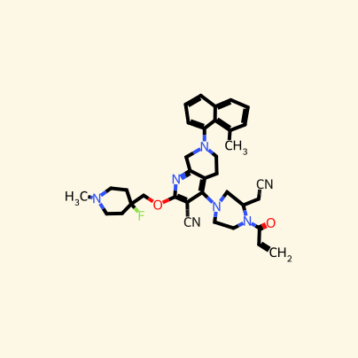 C=CC(=O)N1CCN(c2c(C#N)c(OCC3(F)CCN(C)CC3)nc3c2CCN(c2cccc4cccc(C)c24)C3)CC1CC#N